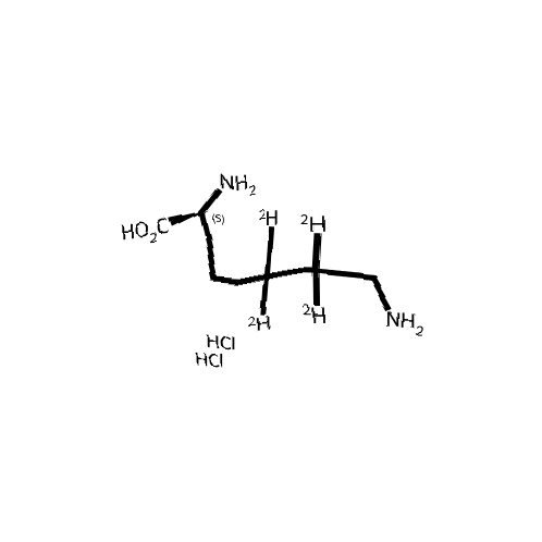 Cl.Cl.[2H]C([2H])(CN)C([2H])([2H])C[C@H](N)C(=O)O